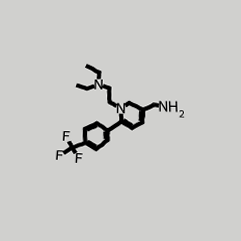 CCN(CC)CCN1CC(CN)=CC=C1c1ccc(C(F)(F)F)cc1